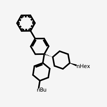 CCCCCC[C@H]1CC[C@H](C2(C3=CCC(CCCC)CC3)C=CC(c3ccccc3)=CC2)CC1